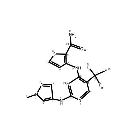 Cn1cc(Nc2ncc(C(F)(F)F)c(Nc3ccsc3C(N)=O)n2)cn1